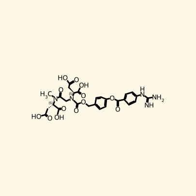 CN(C(=O)CN(C(=O)OCc1ccc(OC(=O)c2ccc(NC(=N)N)cc2)cc1)[C@@H](CC(=O)O)C(=O)O)[C@@H](CC(=O)O)C(=O)O